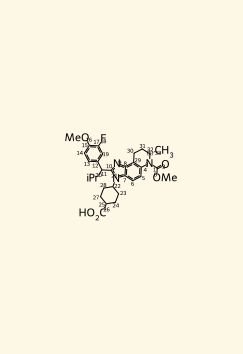 COC(=O)N1c2ccc3c(nc(C(c4ccc(OC)c(F)c4)C(C)C)n3C3CCC(C(=O)O)CC3)c2CC[C@@H]1C